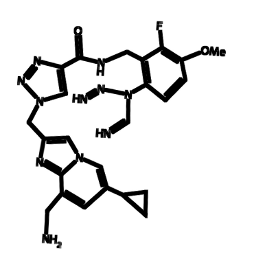 COc1ccc(N(C=N)N=N)c(CNC(=O)c2cn(Cc3cn4cc(C5CC5)cc(CN)c4n3)nn2)c1F